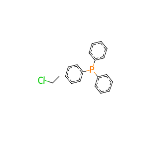 CCCl.c1ccc(P(c2ccccc2)c2ccccc2)cc1